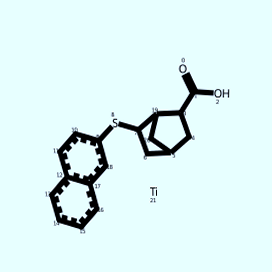 O=C(O)C1CC2CC(Sc3ccc4ccccc4c3)C1C2.[Ti]